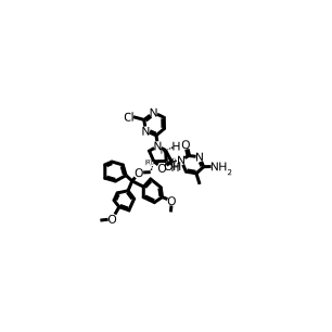 COc1ccc(C(OC[C@@]23CN(c4ccnc(Cl)n4)[C@@H]([C@H](n4cc(C)c(N)nc4=O)O2)[C@@H]3O)(c2ccccc2)c2ccc(OC)cc2)cc1